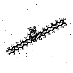 CCCCCCCCCCCCC[NH2+]CCCCCCCCCCCCC.CCCCCCCCCCCCC[NH2+]CCCCCCCCCCCCC.[O]=[W](=[O])([O-])[O-]